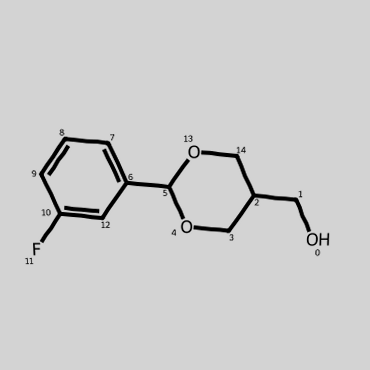 OCC1COC(c2cccc(F)c2)OC1